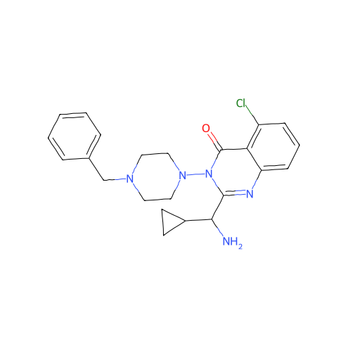 NC(c1nc2cccc(Cl)c2c(=O)n1N1CCN(Cc2ccccc2)CC1)C1CC1